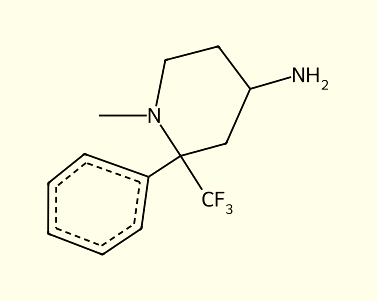 CN1CCC(N)CC1(c1ccccc1)C(F)(F)F